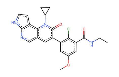 CCNC(=O)c1cc(OC)cc(-c2cc3cnc4[nH]ccc4c3n(C3CC3)c2=O)c1Cl